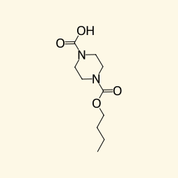 CCCCOC(=O)N1CCN(C(=O)O)CC1